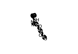 O=C(CN1CCN(CC(=O)N2CCc3c(ncnc3NCC34CC5CC(CC(C5)C3)C4)C2)CC1)N1CCOCC1